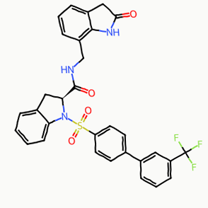 O=C1Cc2cccc(CNC(=O)[C@@H]3Cc4ccccc4N3S(=O)(=O)c3ccc(-c4cccc(C(F)(F)F)c4)cc3)c2N1